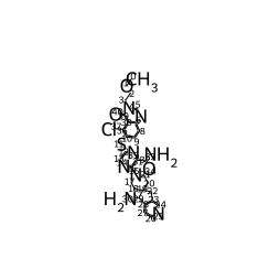 COCCn1cnc2ccc(Sc3cnc(N4CCC5(CC4)Cc4cnccc4[C@H]5N)c(C(N)=O)n3)c(Cl)c2c1=O